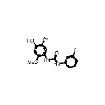 COc1cc(O)c(C(C)=O)cc1NC(=O)Nc1cccc(F)c1